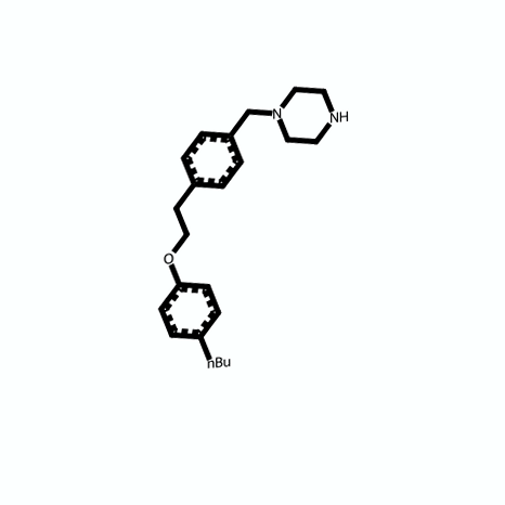 CCCCc1ccc(OCCc2ccc(CN3CCNCC3)cc2)cc1